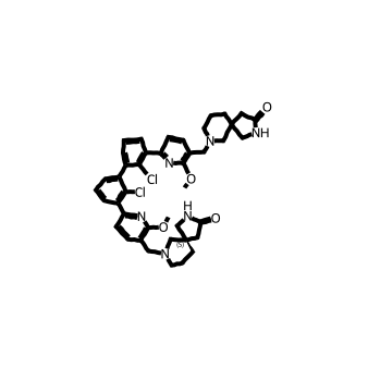 COc1nc(-c2cccc(-c3cccc(-c4ccc(CN5CCC[C@]6(CNC(=O)C6)C5)c(OC)n4)c3Cl)c2Cl)ccc1CN1CCCC2(CNC(=O)C2)C1